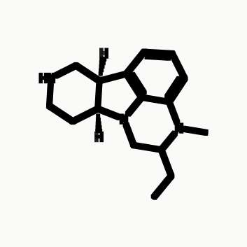 CCC1CN2c3c(cccc3N1C)[C@@H]1CNCC[C@@H]12